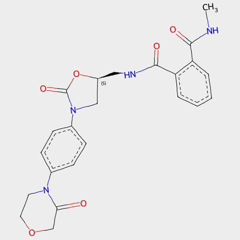 CNC(=O)c1ccccc1C(=O)NC[C@H]1CN(c2ccc(N3CCOCC3=O)cc2)C(=O)O1